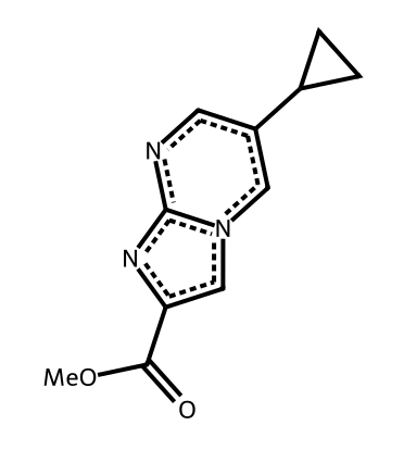 COC(=O)c1cn2cc(C3CC3)cnc2n1